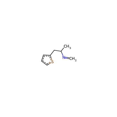 C=NC(C)Cc1cccs1